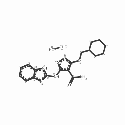 NC(=O)c1c(OCC2CCCCC2)nsc1Nc1nc2ccccc2[nH]1.O=CO